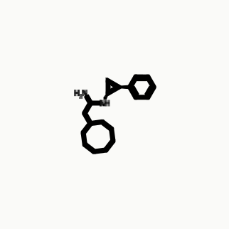 NC(CC1CCCCCCC1)N[C@@H]1C[C@H]1c1ccccc1